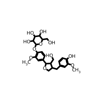 COc1cc(CC2COC(c3ccc(OC4OC(CO)C(O)C(O)C4O)c(OC)c3)C2CO)ccc1O